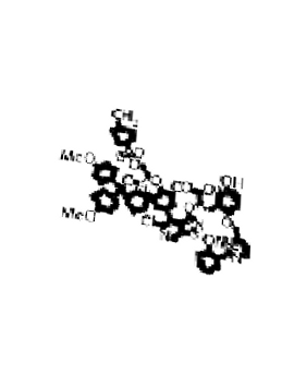 COC(=O)[C@H](Cc1cc(O)ccc1OCc1ccnc(-c2ccccc2OC)n1)Oc1nsc2cnc(Cl)c(-c3cc(Cl)c(O[C@H](COC(c4ccccc4)(c4ccc(OC)cc4)c4ccc(OC)cc4)COS(=O)(=O)c4ccc(C)cc4)c(Cl)c3)c12